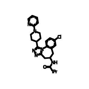 CC(C)C(=O)NC1Cc2cc(Cl)ccc2-n2c(nnc2C2CCN(c3ccccn3)CC2)C1